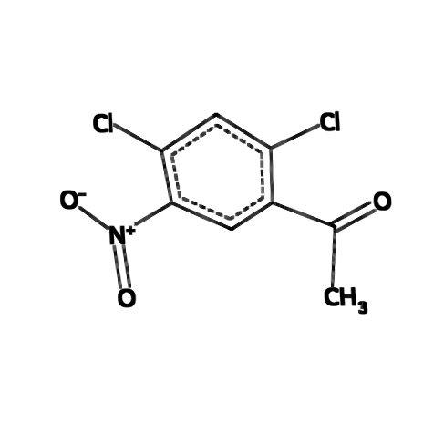 CC(=O)c1cc([N+](=O)[O-])c(Cl)cc1Cl